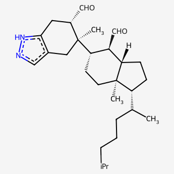 CC(C)CCCC(C)[C@H]1CC[C@H]2[C@H](C=O)[C@@H]([C@@]3(C)Cc4cn[nH]c4C[C@@H]3C=O)CC[C@]12C